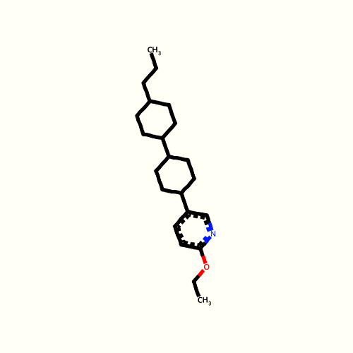 CCCC1CCC(C2CCC(c3ccc(OCC)nc3)CC2)CC1